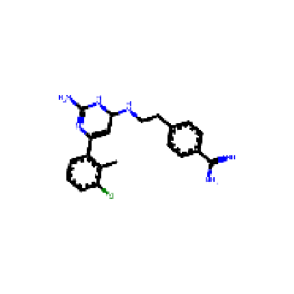 Cc1c(Cl)cccc1C1=CC(NCCc2ccc(C(=N)N)cc2)NC(N)=N1